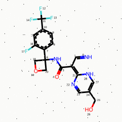 N=C/C(C(=O)NC1(c2ccc(C(F)(F)F)cc2F)COC1)=C1/N=CC(CO)=CN1